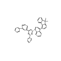 CC1(C)c2ccccc2-c2c(-c3ccc(-c4cc(-c5cccc(-c6ccccc6)c5)nc(-c5ccccc5)n4)c4ccccc34)cccc21